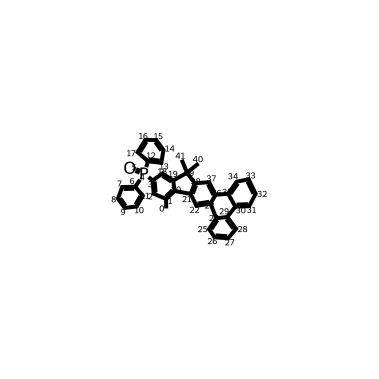 Cc1cc(P(=O)(c2ccccc2)c2ccccc2)cc2c1-c1cc3c4ccccc4c4ccccc4c3cc1C2(C)C